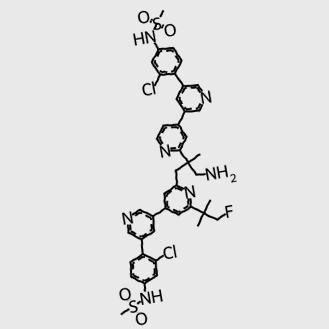 CC(C)(CF)c1cc(-c2cncc(-c3ccc(NS(C)(=O)=O)cc3Cl)c2)cc(CC(C)(CN)c2cc(-c3cncc(-c4ccc(NS(C)(=O)=O)cc4Cl)c3)ccn2)n1